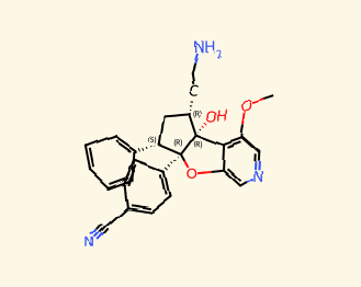 COc1cncc2c1[C@]1(O)[C@@H](CCN)C[C@@H](c3ccccc3)[C@]1(c1ccc(C#N)cc1)O2